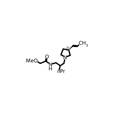 CC=C[C@@H]1CCN(CC(CCC)CNC(=O)COC)C1